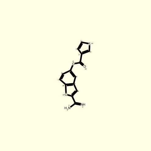 N=C(N)c1cc2cc(OC(=O)c3ccsc3)ccc2o1